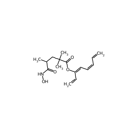 C=C/C=C\C=C(/C=C)OC(=O)C(C)(C)CC(C)C(=O)NO